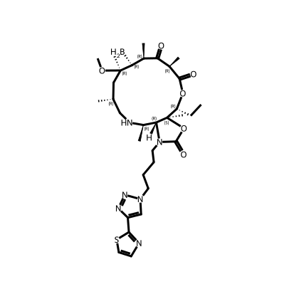 B[C@@H]1[C@@H](C)C(=O)[C@@H](C)C(=O)O[C@H](CC)[C@@]2(C)OC(=O)N(CCCCn3cc(-c4nccs4)nn3)[C@@H]2[C@@H](C)NC[C@H](C)C[C@@]1(C)OC